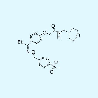 CCC(=NOCc1ccc(S(C)(=O)=O)cc1)c1ccc(OCC(=O)NCC2CCOCC2)cc1